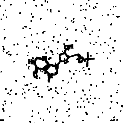 C[n+]1cn(C2CC(O)C(COC(C)(C)C)O2)c2nc[nH]c(=O)c21